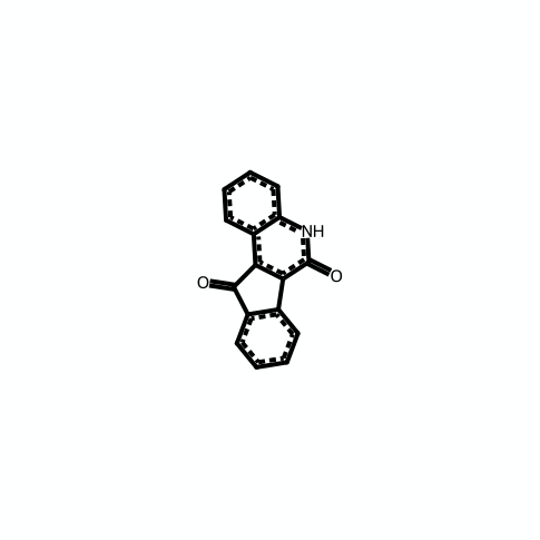 O=C1c2ccccc2-c2c1c1ccccc1[nH]c2=O